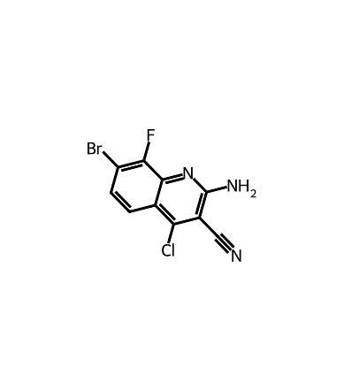 N#Cc1c(N)nc2c(F)c(Br)ccc2c1Cl